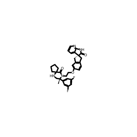 C[C@@]1(c2cc(F)cc(F)c2)CNC2(CCCC2)C(=O)N1CCOc1ccc2c(c1)C[C@@]1(C2)C(=O)Nc2ncccc21